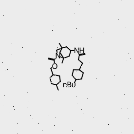 C=C(CCC1CCC(CCCC)CC1)NC1CC2(C)CN(C(=C)OCC3CCC(C)CC3)C(C)(C1)C2